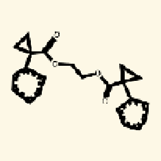 O=C(OCCOC(=O)C1(c2ccccc2)CC1)C1(c2ccccc2)CC1